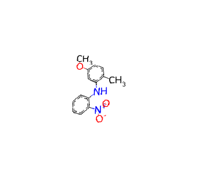 COc1ccc(C)c(Nc2ccccc2[N+](=O)[O-])c1